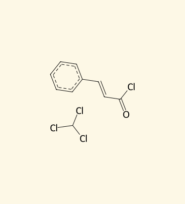 ClC(Cl)Cl.O=C(Cl)/C=C/c1ccccc1